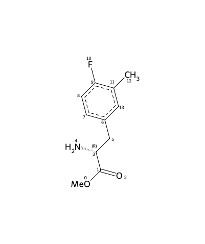 COC(=O)[C@H](N)Cc1ccc(F)c(C)c1